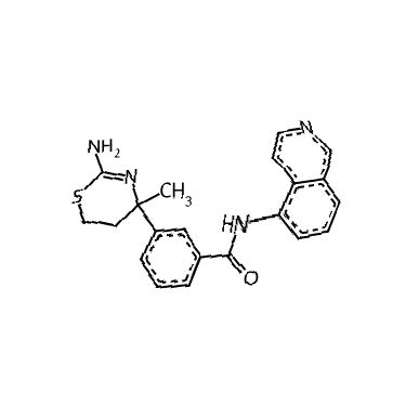 CC1(c2cccc(C(=O)Nc3cccc4cnccc34)c2)CCSC(N)=N1